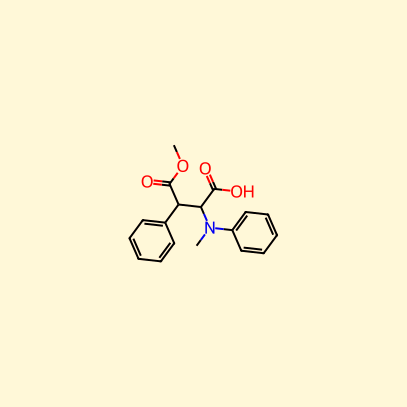 COC(=O)C(c1ccccc1)C(C(=O)O)N(C)c1ccccc1